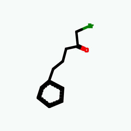 O=C(CBr)CCCc1ccccc1